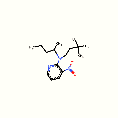 CCCC(C)N(CCC(C)(C)C)c1ncccc1[N+](=O)[O-]